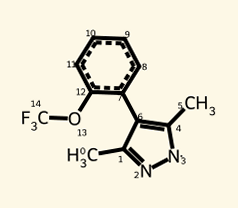 CC1=N[N]C(C)=C1c1ccccc1OC(F)(F)F